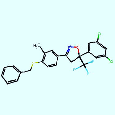 Cc1cc(C2=NOC(c3cc(Cl)cc(Cl)c3)(C(F)(F)F)C2)ccc1SCc1ccccc1